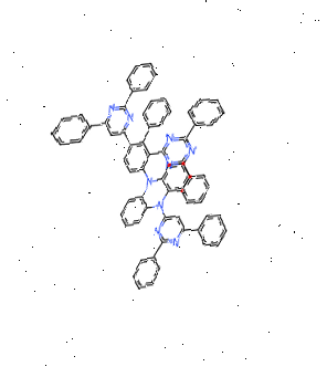 c1ccc(-c2cc(-c3ccc(N4c5ccccc5N(c5cc(-c6ccccc6)nc(-c6ccccc6)n5)c5ccccc54)c(-c4nc(-c5ccccc5)nc(-c5ccccc5)n4)c3-c3ccccc3)nc(-c3ccccc3)n2)cc1